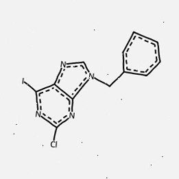 Clc1nc(I)c2ncn(Cc3ccccc3)c2n1